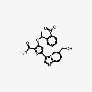 CC(Oc1cc(-c2cnc3ccc(CO)cn23)sc1C(N)=O)c1ccccc1[N+](=O)[O-]